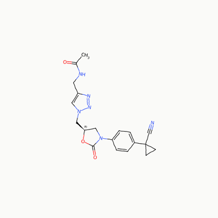 CC(=O)NCc1cn(C[C@H]2CN(c3ccc(C4(C#N)CC4)cc3)C(=O)O2)nn1